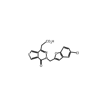 O=C(O)Cc1nn(Cc2cc3cc(Cl)ccc3o2)c(=O)c2cscc12